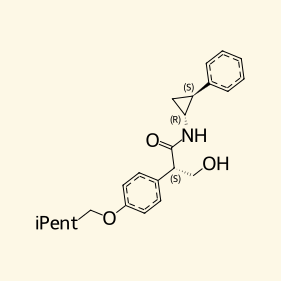 CCCC(C)COc1ccc([C@@H](CO)C(=O)N[C@@H]2C[C@H]2c2ccccc2)cc1